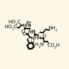 CC(C)C[C@H](NC(=O)[C@H](Cc1ccccc1)NC(=O)[C@H](CCCCN)NC(=O)[C@@H](N)CC(=O)O)C(=O)N[C@@H](CC(=O)O)C(=O)O